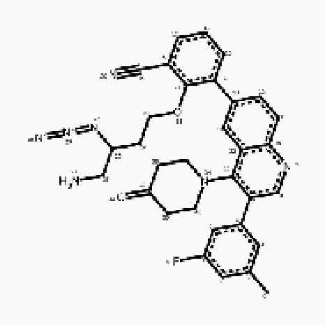 Cc1cc(F)cc(-c2cnc3ccc(-c4cccc(C#N)c4OCCC(CN)N=[N+]=[N-])cc3c2N2CCC(=O)CC2)c1